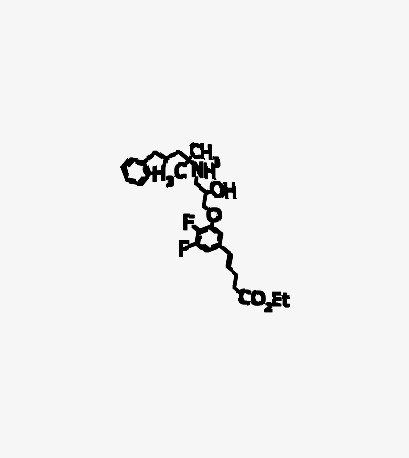 CCOC(=O)CCC=Cc1cc(F)c(F)c(OCC(O)CNC(C)(C)CC2Cc3ccccc3C2)c1